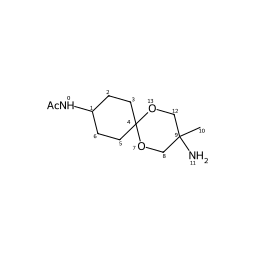 CC(=O)NC1CCC2(CC1)OCC(C)(N)CO2